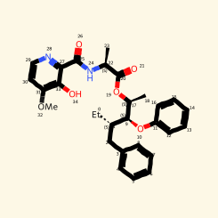 CC[C@@H](Cc1ccccc1)[C@H](Oc1ccccc1)[C@H](C)OC(=O)[C@H](C)NC(=O)c1nccc(OC)c1O